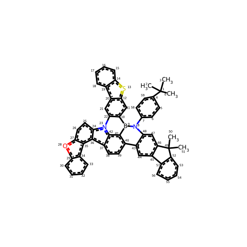 CC(C)(C)c1ccc(N2B3c4cc5sc6ccccc6c5cc4-n4c5ccc6oc7ccccc7c6c5c5ccc(c3c54)-c3cc4c(cc32)C(C)(C)c2ccccc2-4)cc1